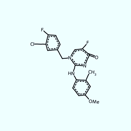 COc1ccc(Nc2nc(=O)c(F)cn2Cc2ccc(F)c(Cl)c2)c(C)c1